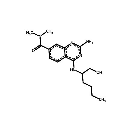 CCCCC(CO)Nc1nc(N)nc2cc(C(=O)N(C)C)ccc12